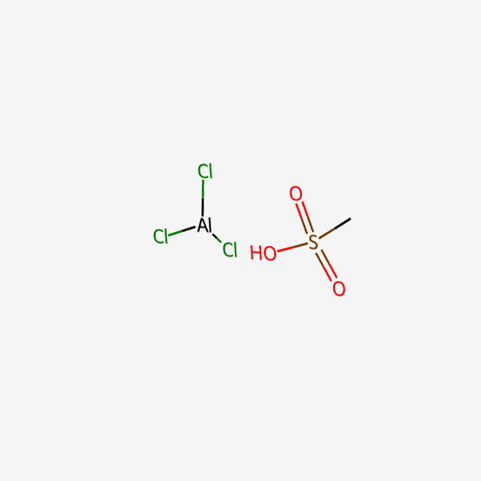 CS(=O)(=O)O.[Cl][Al]([Cl])[Cl]